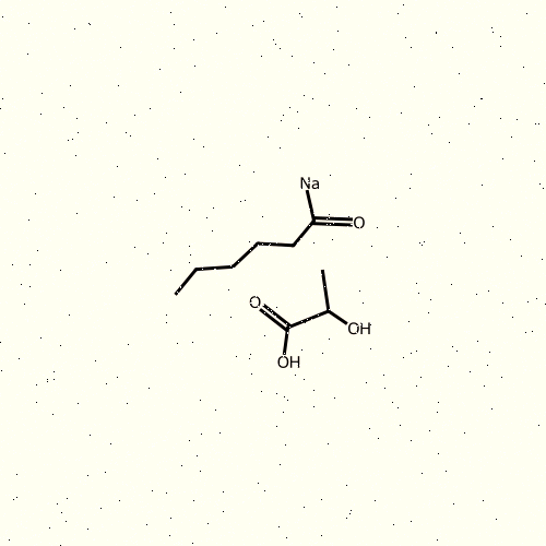 CC(O)C(=O)O.CCCCC[C](=O)[Na]